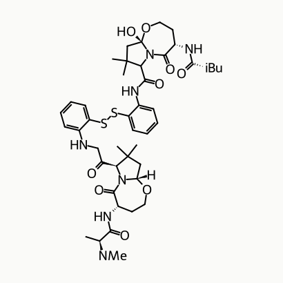 CC[C@@H](C)C(=O)N[C@H]1CCO[C@@]2(O)CC(C)(C)C(C(=O)Nc3ccccc3SSc3ccccc3NCC(=O)[C@@H]3N4C(=O)[C@@H](NC(=O)[C@H](C)NC)CCO[C@H]4CC3(C)C)N2C1=O